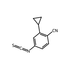 N#Cc1ccc(N=C=S)cc1C1CC1